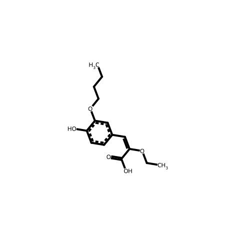 CCCCOc1cc(/C=C(/OCC)C(=O)O)ccc1O